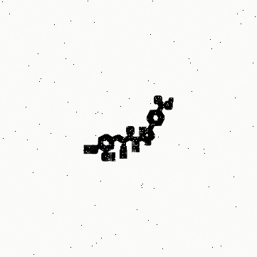 COC(=O)c1ccc(-c2csc(NC(=O)/C(C#N)=C/c3ccc(O)c(O)c3)n2)cc1